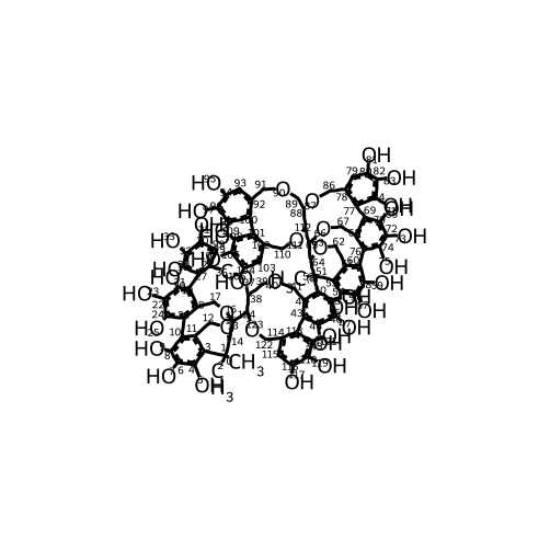 CC1(C)c2c(O)c(O)c(O)c3c2COC1C1OCc2c(c(O)c(O)c(O)c2-3)-c2c(cc(O)c(O)c2O)COC2COCc3c(c(O)c(O)c(O)c3[C@@]3(C)c4c(O)c(O)c(O)c5c4COC3C3OCc4c(c(O)c(O)c(O)c4-5)-c4c(cc(O)c(O)c4O)COC4COCc5cc(O)c(O)c(O)c5-c5c(cc(O)c(O)c5O)COC43)-c3c(cc(O)c(O)c3O)COC21